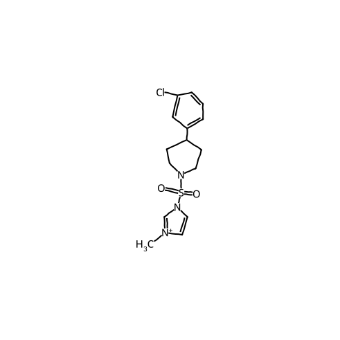 C[n+]1ccn(S(=O)(=O)N2CCC(c3cccc(Cl)c3)CC2)c1